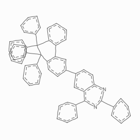 c1ccc(-c2nc(-c3ccccc3)c3cc(-c4ccc5c(c4)-c4ccccc4C(c4ccccc4)(c4ccccc4)C5(c4ccccc4)c4ccccc4)ccc3n2)cc1